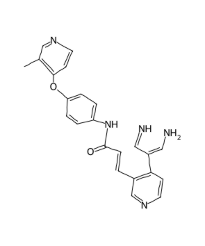 Cc1cnccc1Oc1ccc(NC(=O)/C=C/c2cnccc2/C(C=N)=C/N)cc1